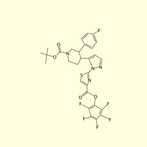 CC(C)(C)OC(=O)N1CCC(c2ccnn2-c2nc(C(=O)Oc3c(F)c(F)c(F)c(F)c3F)cs2)C(c2ccc(F)cc2)C1